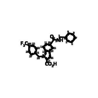 O=C(NCc1ccccc1)c1ccc2c(c1)cc(C(=O)O)n2Cc1ccc(C(F)(F)F)cc1